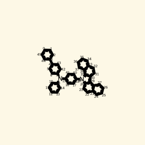 c1ccc(-c2ccc(N(c3ccccc3)c3ccc(-n4c5ccc6ccccc6c5c5ccc6ccccc6c54)cc3)cc2)cc1